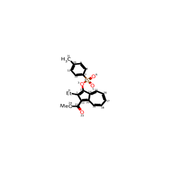 CCc1c(OS(=O)(=O)c2ccc(C)cc2)c2cccccc-2c1C(=O)OC